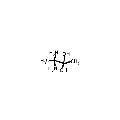 CC(N)(N)C(C)(O)O